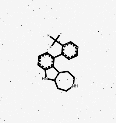 FC(F)(F)c1ccccc1-c1cccc2c1C1CCNCCC1N2